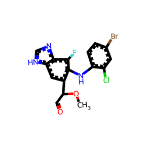 COC(C=O)c1cc2[nH]cnc2c(F)c1Nc1ccc(Br)cc1Cl